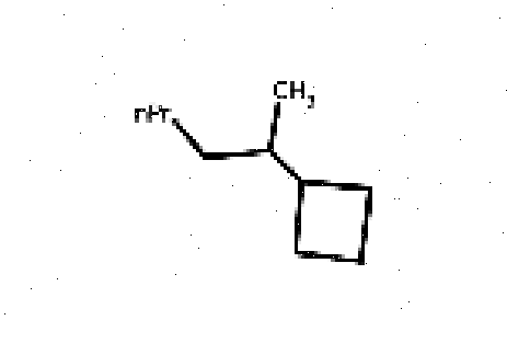 CCCCC(C)[C]1CCC1